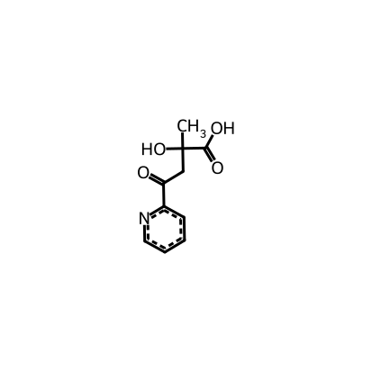 CC(O)(CC(=O)c1ccccn1)C(=O)O